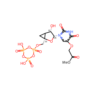 COC(=O)COc1cn([C@@H]2O[C@@]3(COP4(=O)OP(=O)(O)OP(=O)(O)O4)CC3[C@@H]2O)c(=O)[nH]c1=O